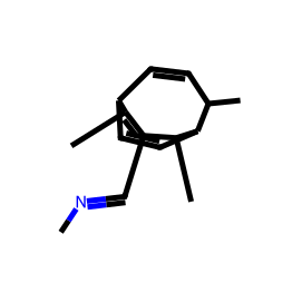 C/N=C/C1=C(C)C2C=CC(C)C(C=C2)C1C